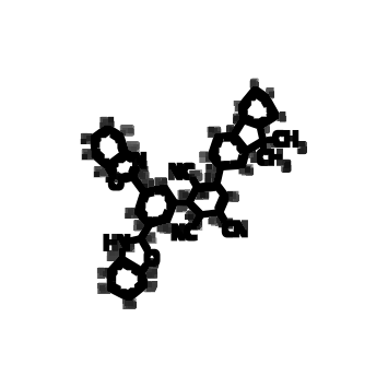 CC1(C)c2ccccc2-c2ccc(C3=C(C#N)C(c4cc(-c5nc6ccccc6o5)cc(C5Nc6ccccc6O5)c4)C(C#N)C(C#N)=C3)cc21